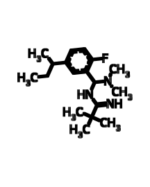 CCC(C)c1ccc(F)c(C(NC(=N)C(C)(C)C)N(C)C)c1